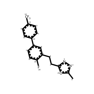 Cc1nnc(CCc2cc(-c3ccc(C(F)(F)F)cc3)ccc2F)o1